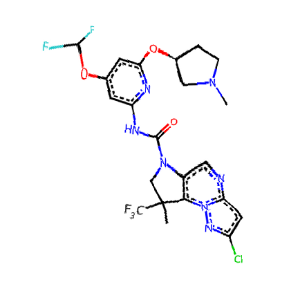 CN1CC[C@H](Oc2cc(OC(F)F)cc(NC(=O)N3CC(C)(C(F)(F)F)c4c3cnc3cc(Cl)nn43)n2)C1